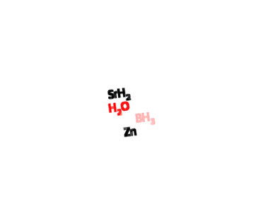 B.O.[SrH2].[Zn]